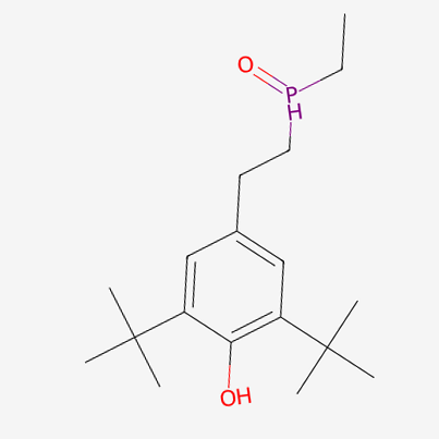 CC[PH](=O)CCc1cc(C(C)(C)C)c(O)c(C(C)(C)C)c1